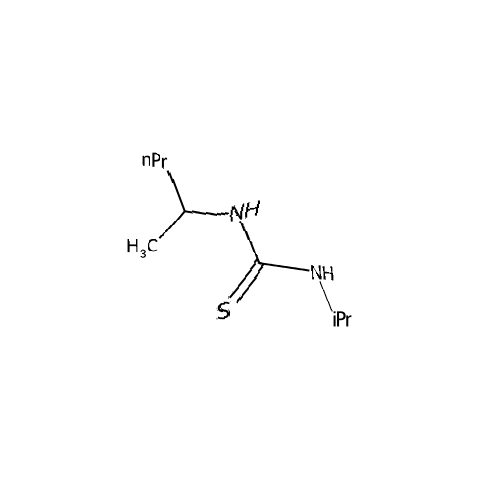 CCCC(C)NC(=S)NC(C)C